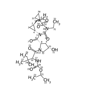 C=C[C@@H]1C[C@H]1N(C(=O)[C@@H]1C[C@H](O)CN1C(=O)C(NC(=O)OC(C)C)C(C)(C)C)C(=O)N(CC)S(=O)(=O)C1CC1